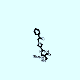 CC(C)(C)Nc1nc(C2CN(CC(=O)c3ccccc3)C2)[nH]c(=O)c1C=N